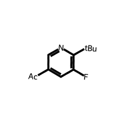 CC(=O)c1cnc(C(C)(C)C)c(F)c1